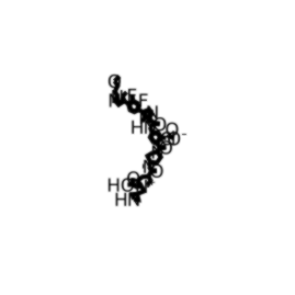 COCCn1ncc(-c2ccc(-c3cnc(C(=O)Nc4ccc(C(=O)N5CCC(N(C)C(=O)C6CC[N+](CC(=O)O)(CC7CNC7)CC6)CC5)c(Cl)c4)n3C)c(F)c2F)c1C.O=C[O-]